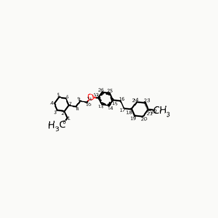 CCC1CCCCC1CCCOc1ccc(CCC2CCC(C)CC2)cc1